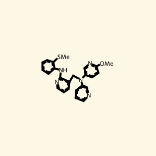 COc1ccc(N(Cc2cccnc2Nc2ccccc2SC)c2cccnc2)cn1